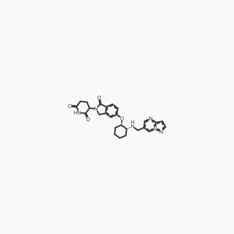 O=C1CCC(N2Cc3cc(O[C@@H]4CCCC[C@H]4NCc4cnc5ccnn5c4)ccc3C2=O)C(=O)N1